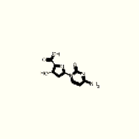 Nc1ccn([C@H]2C[C@H](O)[C@@H](C(=O)O)O2)c(=O)n1